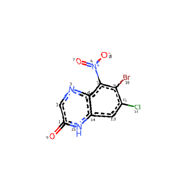 O=c1cnc2c([N+](=O)[O-])c(Br)c(Cl)cc2[nH]1